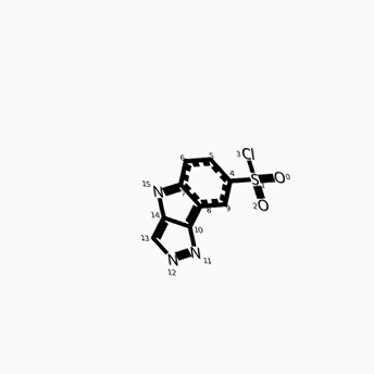 O=S(=O)(Cl)c1ccc2c(c1)=C1N=NC=C1N=2